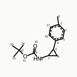 Cc1ccc(C2CC2NC(=O)OC(C)(C)C)cc1